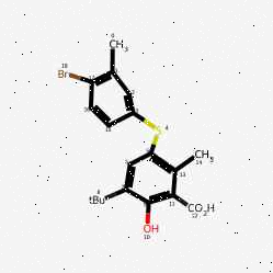 Cc1cc(Sc2cc(C(C)(C)C)c(O)c(C(=O)O)c2C)ccc1Br